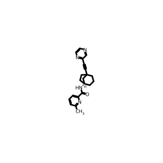 Cc1cccc(C(=O)N[C@]23CCCC(C#Cc4cnccn4)(CC2)C3)n1